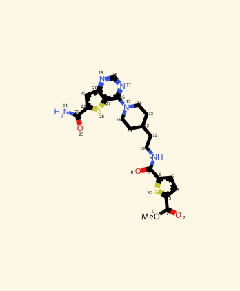 COC(=O)c1ccc(C(=O)NCCC2CCN(c3ncnc4cc(C(N)=O)sc34)CC2)s1